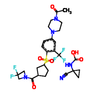 CC(=O)N1CCN(c2ccc(S(=O)(=O)C3CCC(C(=O)N4CC(F)(F)C4)C3)c(C(F)(F)F)c2)CC1.N#CC1(NC(=O)O)CC1